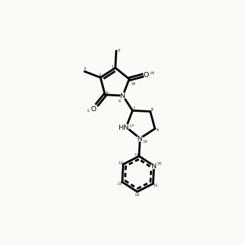 CC1=C(C)C(=O)N(C2CCN(c3ccccn3)N2)C1=O